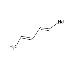 CC=CC=[CH][Nd]